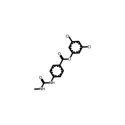 CNC(=O)Nc1ccc(C(=O)Oc2cc(Cl)cc(Cl)c2)cc1